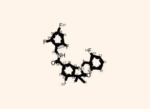 CC1(C)C(=O)N(Cc2c(F)cccc2F)c2cc(C(=O)NCc3c(F)cc(F)cc3F)cc(I)c21